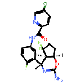 C[C@]1(c2cc(NC(=O)c3ccc(Cl)cn3)ccc2F)N=C(N)O[C@@H]2CCC(F)(F)[C@@H]21